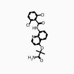 CC(C)(Oc1ccnc2c(NC(=O)c3c(Cl)cccc3Cl)cccc12)C(N)=O